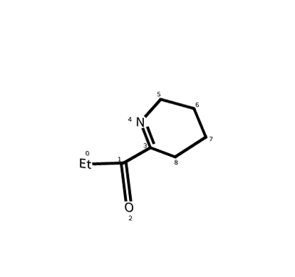 CCC(=O)C1=NCCCC1